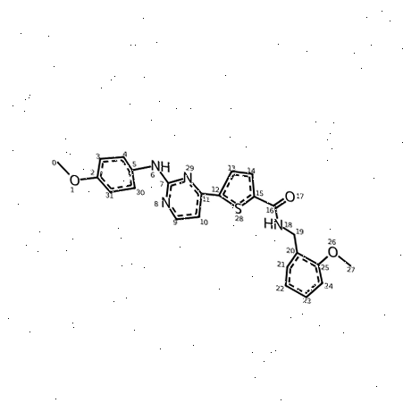 COc1ccc(Nc2nccc(-c3ccc(C(=O)NCc4ccccc4OC)s3)n2)cc1